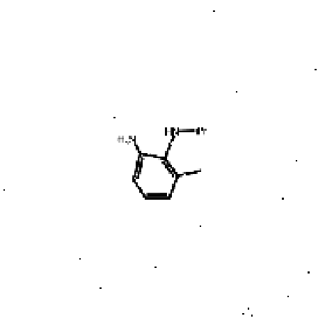 Cc1cccc(N)c1NC(C)C